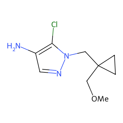 COCC1(Cn2ncc(N)c2Cl)CC1